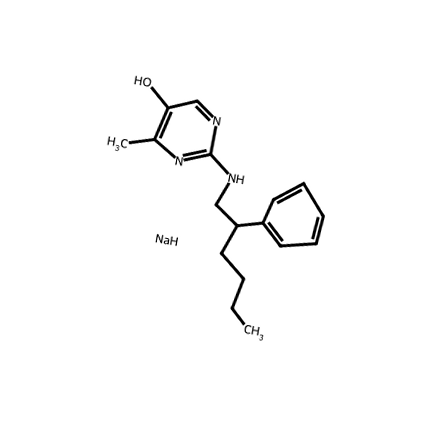 CCCCC(CNc1ncc(O)c(C)n1)c1ccccc1.[NaH]